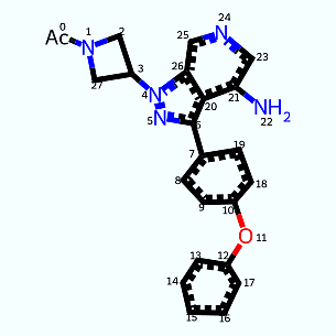 CC(=O)N1CC(n2nc(-c3ccc(Oc4ccccc4)cc3)c3c(N)cncc32)C1